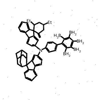 Bc1c(B)c(B)c(-c2ccc(N(c3ccc4c(c3)C3(C(=C)CC(CC)CC3CC)c3ccccc3-4)c3ccc4c(c3)C3(c5ccccc5-4)C4CC5CC(C4)CC3C5)cc2)c(B)c1B